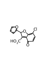 O=C(O)C1=C2C(=O)C=CC(Cl)=C2OC1c1ccco1